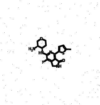 Cc1ccc(-c2nc(N[C@@H]3CCOC[C@@H]3N)c(F)c3c2C(=O)NC3)s1